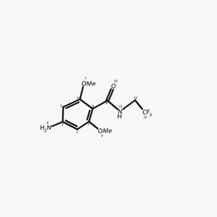 COc1cc(N)cc(OC)c1C(=O)NCC(F)(F)F